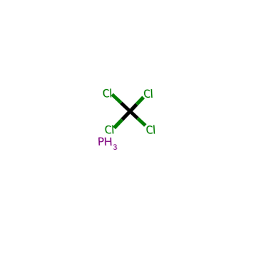 ClC(Cl)(Cl)Cl.P